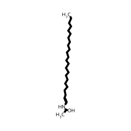 CCCCCCCCCCCCCCCCCCCCCCC=CNC(C)O